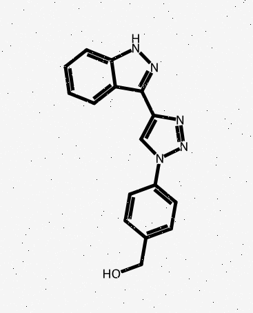 OCc1ccc(-n2cc(-c3n[nH]c4ccccc34)nn2)cc1